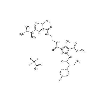 CCC(C(=O)Nc1sc(C(=O)NCCNC(=O)[C@@H](NC(=O)[C@@H](N)C(C)C)C(C)C)c(C)c1C(=O)OC)c1ccc(F)cc1.O=C(O)C(F)(F)F